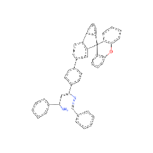 NC(/C=C(\N=C\c1ccccc1)c1ccc(-c2ccc3c(c2)C2(c4ccccc4Oc4ccccc42)c2ccccc2-3)cc1)c1ccccc1